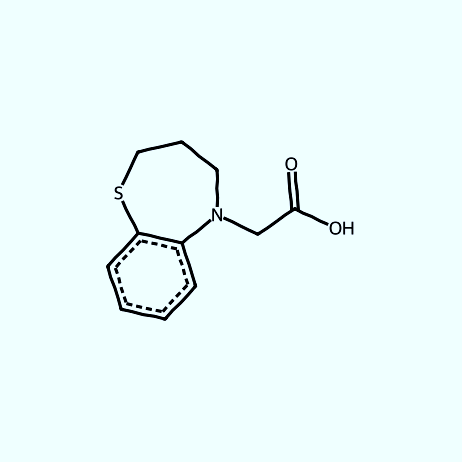 O=C(O)CN1CCCSc2ccccc21